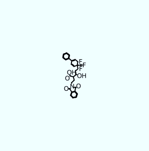 O=C(O)C(CCN1C(=O)c2ccccc2C1=O)C(O)CCC1(C(F)(F)F)C=CC(c2ccccc2)=CC1